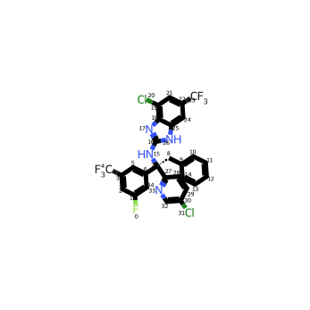 Fc1cc(C(F)(F)F)cc([C@@](Cc2ccccc2)(Nc2nc3c(Cl)cc(C(F)(F)F)cc3[nH]2)c2ccc(Cl)cn2)c1